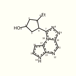 CCC1CC(O)CC1c1nnc2cnc3[nH]ccc3n12